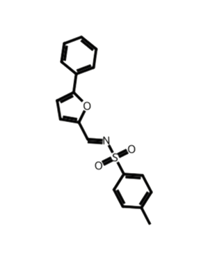 Cc1ccc(S(=O)(=O)N=Cc2ccc(-c3ccccc3)o2)cc1